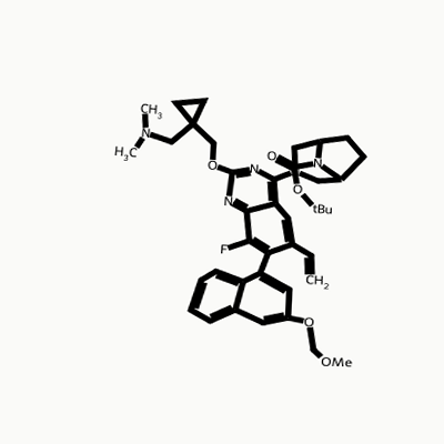 C=Cc1cc2c(N3CC4CCC(C3)N4C(=O)OC(C)(C)C)nc(OCC3(CN(C)C)CC3)nc2c(F)c1-c1cc(OCOC)cc2ccccc12